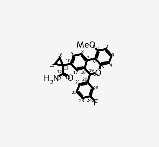 COc1cccc2c1-c1ccc(C3(C(N)=O)CC3)cc1C(c1cccc(F)c1)O2